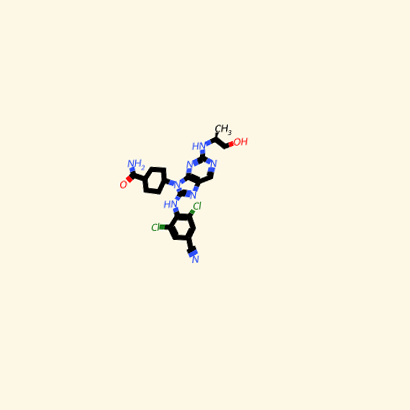 C[C@@H](CO)Nc1ncc2nc(Nc3c(Cl)cc(C#N)cc3Cl)n(C3CCC(C(N)=O)CC3)c2n1